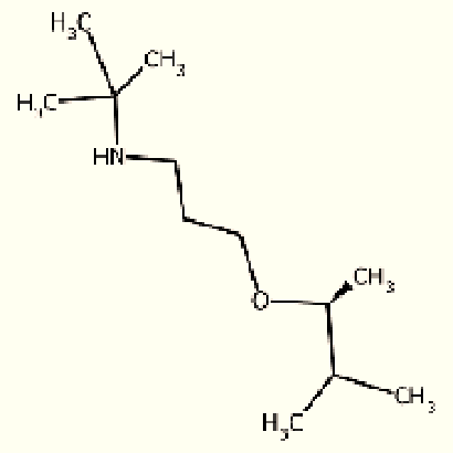 CC(C)[C@H](C)OCCCNC(C)(C)C